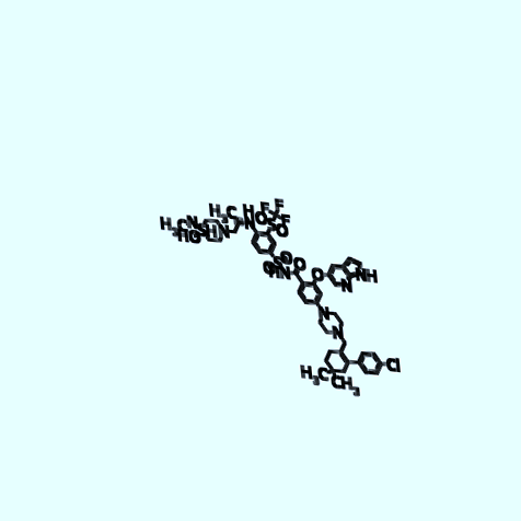 CN=[SH]1(O)CCN(C[C@H](C)Nc2ccc(S(=O)(=O)NC(=O)c3ccc(N4CCN(CC5=C(c6ccc(Cl)cc6)CC(C)(C)CC5)CC4)cc3Oc3cnc4[nH]ccc4c3)cc2S(=O)(=O)C(F)(F)F)CC1